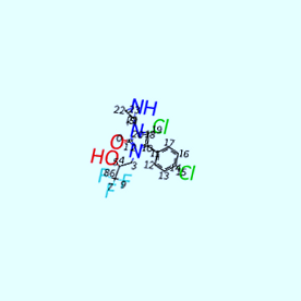 O=c1n(CC(O)C(F)(F)F)c(-c2ccc(Cl)cc2)c(Cl)n1[C@H]1CN1